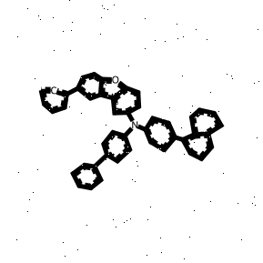 c1ccc(-c2ccc(N(c3ccc(-c4cccc5ccccc45)cc3)c3ccc4oc5ccc(-c6ccccc6)cc5c4c3)cc2)cc1